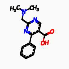 CN(C)Cc1ncc(C(=O)O)c(-c2ccccc2)n1